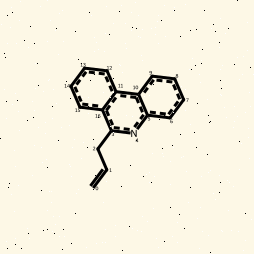 C=CCc1nc2ccccc2c2ccccc12